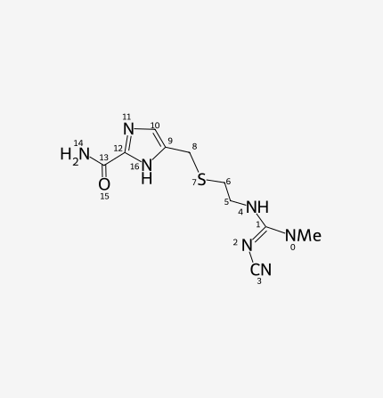 CNC(=NC#N)NCCSCc1cnc(C(N)=O)[nH]1